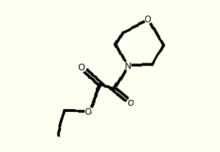 CCOC(=O)C(=O)N1CCOCC1